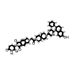 O=C1CC[C@@H](N2C(=O)c3cc4c(cc3C2=O)CN(CC(=O)N2CCC3(CC2)CCN(c2cnc([C@@H]5c6ccc(O)cc6CC[C@@H]5c5ccccc5)cn2)CC3)C4)C(=O)N1